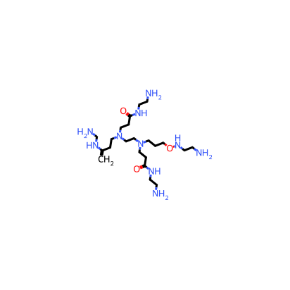 C=C(CCN(CCC(=O)NCCN)CCN(CCCONCCN)CCC(=O)NCCN)NCN